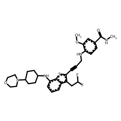 CNC(=O)c1ccc(NCC#Cc2sc3c(NC4CCC(N5CCOCC5)CC4)cccc3c2CC(F)F)c(OC)c1